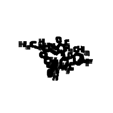 CCNC(=O)c1cc2c([nH]1)c(=O)c(C)cn2-c1cc(NS(=O)(=O)CC)ccc1Oc1c(C)cc(F)cc1C